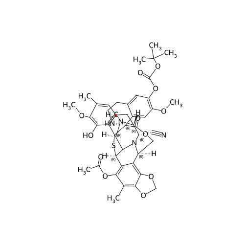 COc1cc2c(cc1OC(=O)OC(C)(C)C)CCN[C@]21CS[C@@H]2c3c(OC(C)=O)c(C)c4c(c3[C@H](COC1=O)N1C2[C@H]2c3c(cc(C)c(OC)c3O)C[C@H]([C@@H]1C#N)N2C)OCO4